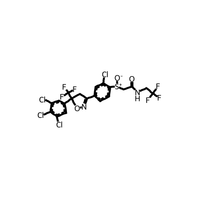 O=C(C[S+]([O-])c1ccc(C2=NOC(c3cc(Cl)c(Cl)c(Cl)c3)(C(F)(F)F)C2)cc1Cl)NCC(F)(F)F